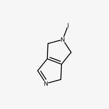 IN1CC2=C(CN=C2)C1